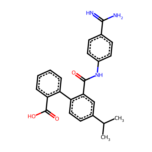 CC(C)c1ccc(-c2ccccc2C(=O)O)c(C(=O)Nc2ccc(C(=N)N)cc2)c1